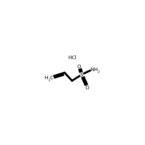 C=CCS(N)(=O)=O.Cl